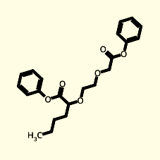 CCCCC(OCCOCC(=O)Oc1ccccc1)C(=O)Oc1ccccc1